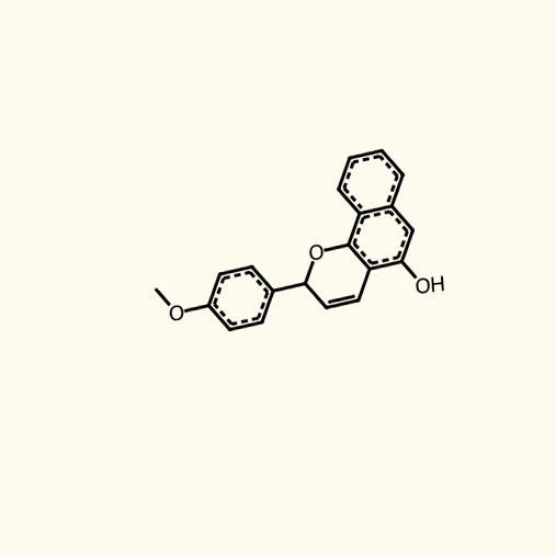 COc1ccc(C2C=Cc3c(O)cc4ccccc4c3O2)cc1